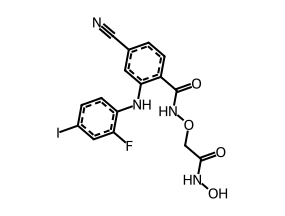 N#Cc1ccc(C(=O)NOCC(=O)NO)c(Nc2ccc(I)cc2F)c1